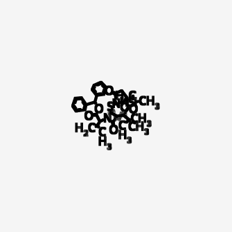 C=C(C)C(C(=O)OC(c1ccccc1)c1ccccc1)N1C(=O)[C@H]([C@@H](CO[SiH](C)C)C(C)(C)C)[C@H]1SN1C(=O)CCC1=O